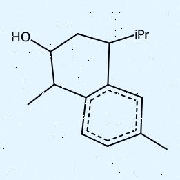 Cc1ccc2c(c1)C(C(C)C)CC(O)C2C